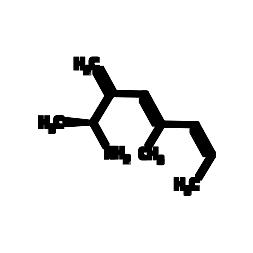 C=C(/C=C(C)/C=C\C)[C@H](C)N